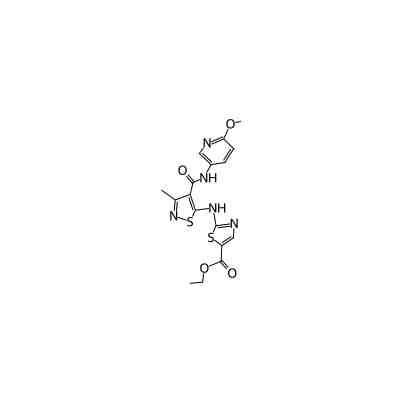 CCOC(=O)c1cnc(Nc2snc(C)c2C(=O)Nc2ccc(OC)nc2)s1